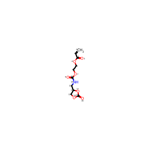 C=CC(=O)OCCOC(=O)NCC1COC(=O)O1